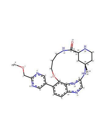 CCCOCc1ncc(-c2ccc3ncc4nc3c2OCCCNC(=O)[C@@H]2C[C@H](CCN2)N4)cn1